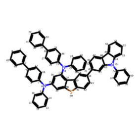 c1ccc(-c2ccc(N(c3ccccc3)c3cc(N(c4ccccc4)c4ccc(-c5ccccc5)cc4)c4c(c3)sc3ccc(-c5ccc6c7ccccc7n(-c7ccccc7)c6c5)cc34)cc2)cc1